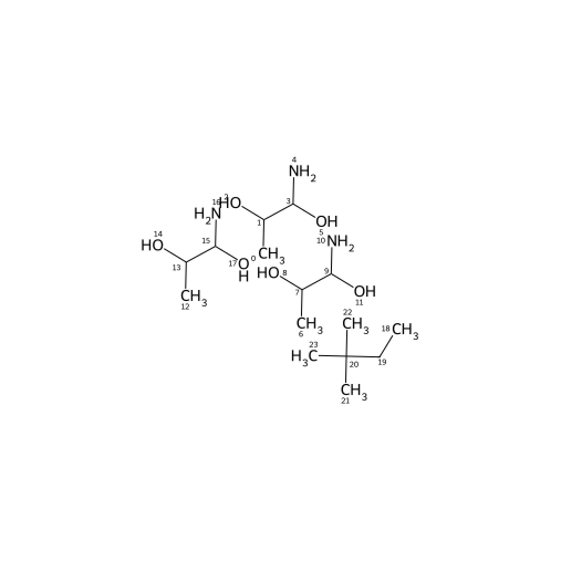 CC(O)C(N)O.CC(O)C(N)O.CC(O)C(N)O.CCC(C)(C)C